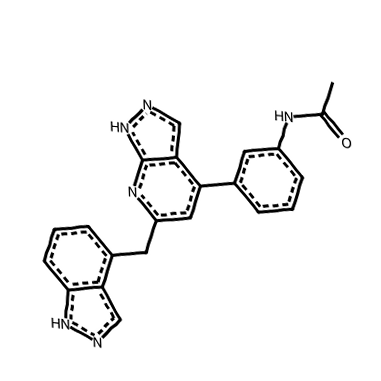 CC(=O)Nc1cccc(-c2cc(Cc3cccc4[nH]ncc34)nc3[nH]ncc23)c1